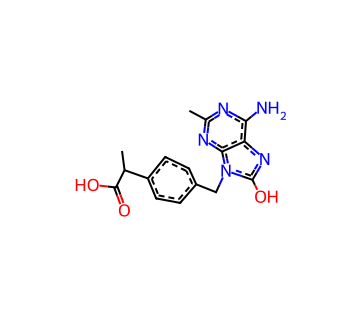 Cc1nc(N)c2nc(O)n(Cc3ccc(C(C)C(=O)O)cc3)c2n1